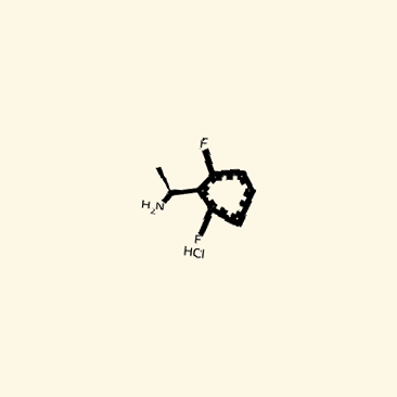 C[C@H](N)c1c(F)cccc1F.Cl